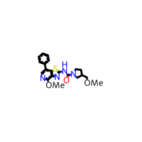 COCC1CCN(C(=O)Nc2nc3c(OC)ncc(-c4ccccc4)c3s2)C1